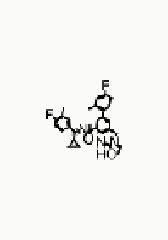 Cc1cc([C@@H](NC(=O)c2cc(Cn3ccoc3=N)cc(-c3ccc(F)cc3C)c2)C2CC2)ccc1F